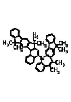 CC1=C(C)c2cc3c(cc2N(c2cc4c(c5ccccc25)-c2cc5c(cc2C4(C)C)-c2ccccc2C5(C)C)c2ccccc21)-c1ccccc1C3(C)C